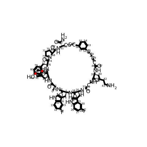 C[C@@H]1NC(=O)[C@H](Cc2c[nH]c3ccc(F)cc23)NC(=O)[C@H](Cc2c[nH]c3ccc(F)cc23)NC(=O)CNC(=O)[C@H](CCCCN)NC(=O)CCSCc2cccc(c2)CSC[C@@H](C(N)=O)NC(=O)[C@]2(C)CCCN2C(=O)[C@H](Cc2ccc(O)cc2)NC(=O)[C@H](Cc2cnc[nH]2)NC1=O